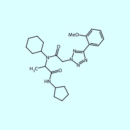 COc1ccccc1-c1nnn(CC(=O)N(C2CCCCC2)C(C)C(=O)NC2CCCC2)n1